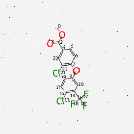 COC(=O)c1ccc(Oc2ccc(Cl)c(C(F)(F)F)c2)c(Cl)c1